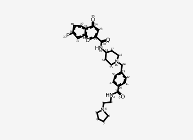 O=C(NCCN1CCCC1)c1ccc(CN2CCC(NC(=O)c3cc(=O)c4ccc(F)cc4o3)CC2)cc1